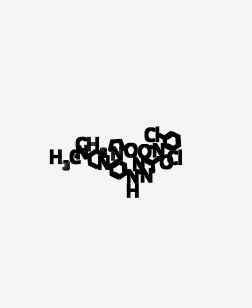 CN(C)C1CCN(c2ccc(Nc3ncc4c(n3)OCN(c3c(Cl)cccc3Cl)C4=O)cc2N2CCCC2=O)CC1